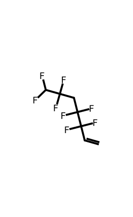 C=CC(F)(F)C(F)(F)CC(F)(F)C(F)F